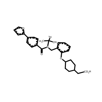 [2H]C(C)(C)N(Cc1ccccc1OC1CCC(CC(=O)O)CC1)C(=O)c1ccc(-c2ccco2)cc1